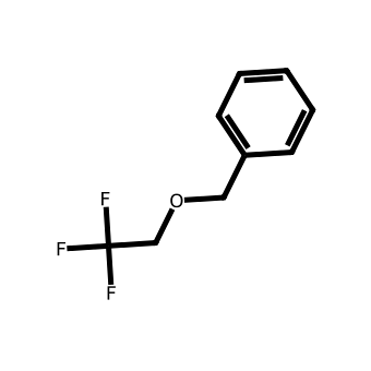 FC(F)(F)COCc1ccccc1